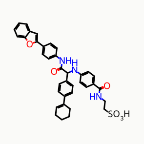 O=C(NCCS(=O)(=O)O)c1ccc(NC(C(=O)Nc2ccc(-c3cc4ccccc4o3)cc2)c2ccc(C3=CCCCC3)cc2)cc1